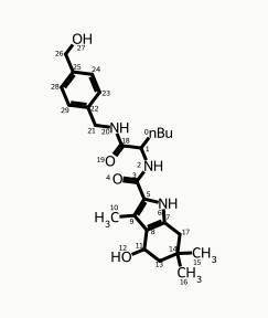 CCCCC(NC(=O)c1[nH]c2c(c1C)C(O)CC(C)(C)C2)C(=O)NCc1ccc(CO)cc1